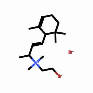 CC1=CCCC(C)(C)C1C=CC(C)[N+](C)(C)CCBr.[Br-]